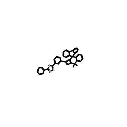 CC1(C)c2ccccc2C2(c3ccccc3-c3ccccc32)c2cc(-c3cccc(-c4nnc(-c5ccccc5)s4)c3)ccc21